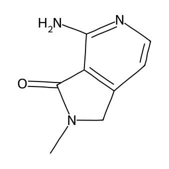 CN1Cc2ccnc(N)c2C1=O